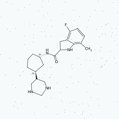 Cc1ccc(F)c2c1NC(C(=O)N[C@H]1CCC[C@H](C3CNCNC3)C1)C2